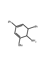 CC(C)C1=CC(C(C)C)C(N)C(C(C)(C)C)=C1